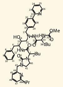 CCC(C)C(C(=O)NC(Cc1ccccc1)C(O)CN(Cc1ccc(-c2ccccn2)cc1)NC(=O)C(NC(=O)OC)C(C)(C)C)N1CCN(Cc2cccc(C(C)C)n2)C1=O